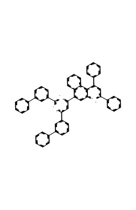 c1ccc(-c2cccc(-c3cc(-c4cc5nc(-c6ccccc6)cc(-c6ccccc6)c5c5ccccc45)nc(-c4cccc(-c5ccccc5)c4)n3)c2)cc1